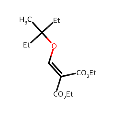 CCOC(=O)C(=COC(C)(CC)CC)C(=O)OCC